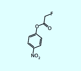 O=C(CF)Oc1ccc([N+](=O)[O-])cc1